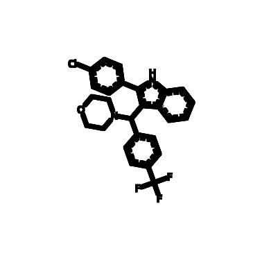 FC(F)(F)c1ccc(C(c2c(-c3ccc(Cl)cc3)[nH]c3ccccc23)N2CCOCC2)cc1